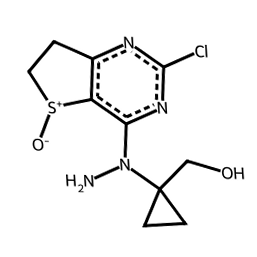 NN(c1nc(Cl)nc2c1[S+]([O-])CC2)C1(CO)CC1